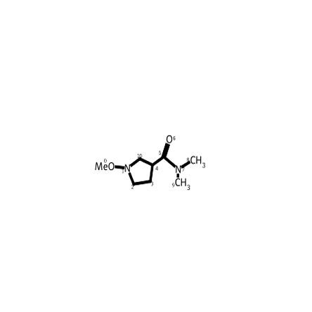 CON1CCC(C(=O)N(C)C)C1